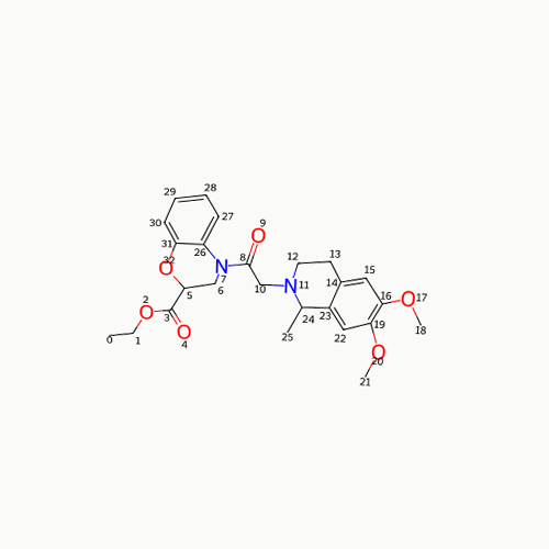 CCOC(=O)C1CN(C(=O)CN2CCc3cc(OC)c(OC)cc3C2C)c2ccccc2O1